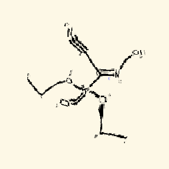 CCOP(=O)(OCC)/C(C#N)=N/O